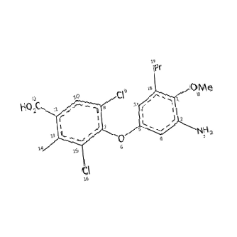 COc1c(N)cc(Oc2c(Cl)cc(C(=O)O)c(C)c2Cl)cc1C(C)C